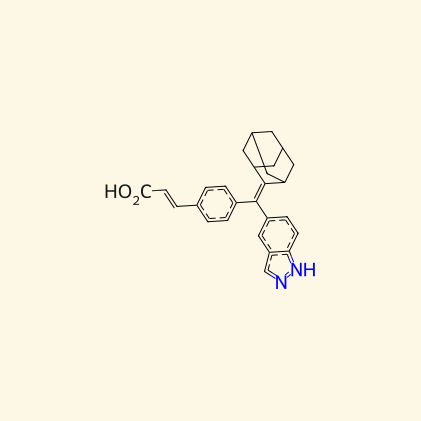 O=C(O)C=Cc1ccc(C(=C2C3CC4CC(C3)CC2C4)c2ccc3[nH]ncc3c2)cc1